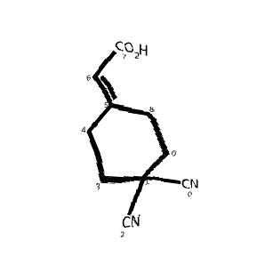 N#CC1(C#N)CCC(=CC(=O)O)CC1